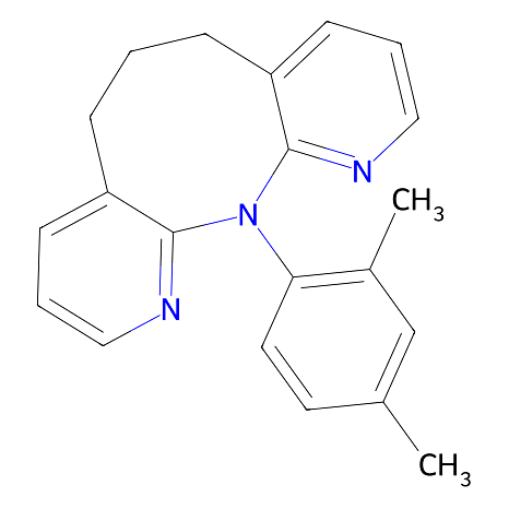 Cc1ccc(N2c3ncccc3CCCc3cccnc32)c(C)c1